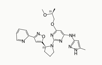 CO[C@@H](C)COc1cc(Nc2cc(C)[nH]n2)nc(N2CCC[C@H]2c2cc(-c3ccccn3)no2)n1